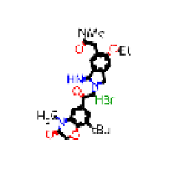 Br.CCOc1cc2c(cc1CC(=O)NC)C(=N)N(CC(=O)c1cc3c(c(C(C)(C)C)c1)OCC(=O)N3C)C2